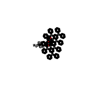 CC(C)(C)c1ccc2c(c1)c1c(n2-c2ccccc2)B2c3cc4c(cc3N(c3ccccc3)c3cc(N(c5ccccc5)c5ccccc5)cc(c32)N1c1ccccc1)N(c1ccccc1)c1cc(N(c2ccccc2)c2ccccc2)cc2c1B4c1c(c3ccccc3n1-c1ccccc1)N2c1ccccc1